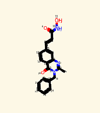 Cc1nc2cc(C=CC(=O)NO)ccc2c(=O)n1Cc1ccccc1